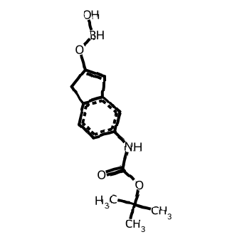 CC(C)(C)OC(=O)Nc1ccc2c(c1)C=C(OBO)C2